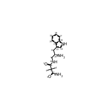 CC(C)(C(N)=O)C(=O)NC[C@H](N)Cc1c[nH]c2ccccc12